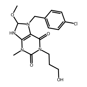 COC1Nc2c(c(=O)n(CCCO)c(=O)n2C)N1Cc1ccc(Cl)cc1